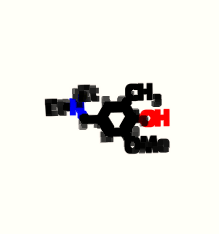 CCN(CC)Cc1cc(C)c(O)c(OC)c1